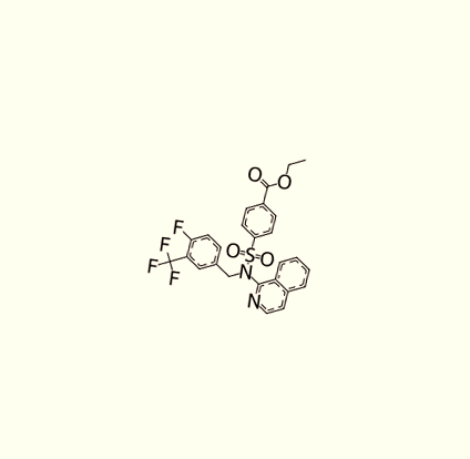 CCOC(=O)c1ccc(S(=O)(=O)N(Cc2ccc(F)c(C(F)(F)F)c2)c2nccc3ccccc23)cc1